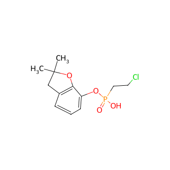 CC1(C)Cc2cccc(OP(=O)(O)CCCl)c2O1